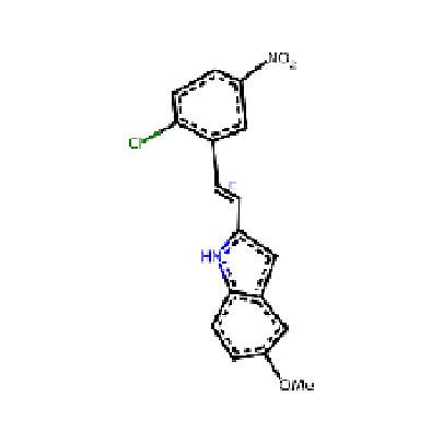 COc1ccc2[nH]c(/C=C/c3cc([N+](=O)[O-])ccc3Cl)cc2c1